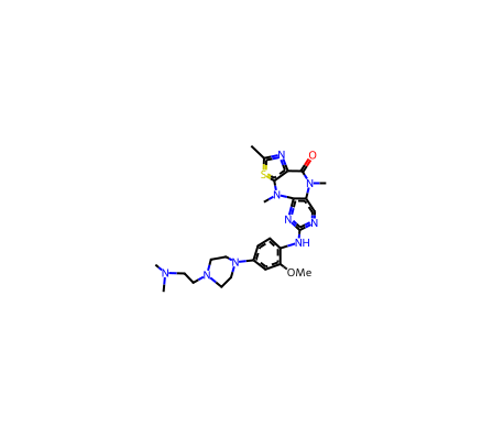 COc1cc(N2CCN(CCN(C)C)CC2)ccc1Nc1ncc2c(n1)N(C)c1sc(C)nc1C(=O)N2C